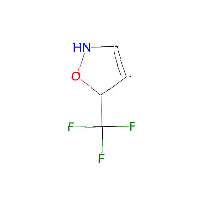 FC(F)(F)C1[C]=CNO1